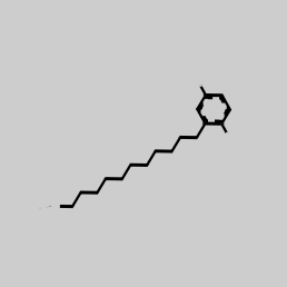 CCCCCCCCCCCCCCCCCCCCCc1cc(C(=O)O)ccc1C(=O)O